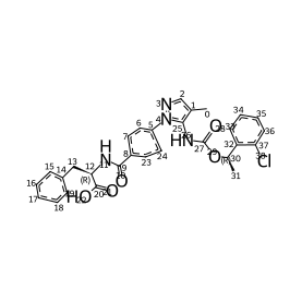 Cc1cnn(-c2ccc(C(=O)N[C@H](Cc3ccccc3)C(=O)O)cc2)c1NC(=O)O[C@H](C)c1ccccc1Cl